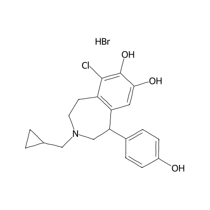 Br.Oc1ccc(C2CN(CC3CC3)CCc3c2cc(O)c(O)c3Cl)cc1